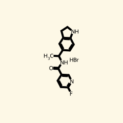 Br.CC(NC(=O)c1ccc(F)nc1)c1ccc2c(c1)CCN2